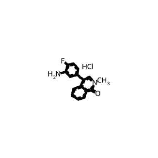 Cl.Cn1cc(-c2ccc(F)c(N)c2)c2ccccc2c1=O